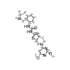 COc1cc(N2CCc3nc(NC(=O)Nc4ccccc4CN(C)C(C)C)sc3C2)nc(OC)n1